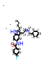 CCCCc1[nH]c2ccc(NC(=O)c3ccc(F)cc3)cc2c1CCN(C)Cc1ccccc1